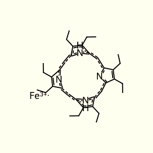 CCC1=C(CC)c2cc3[nH]c(cc4nc(cc5[nH]c(cc1n2)c(CC)c5CC)C(CC)=C4CC)c(CC)c3CC.[Fe+3]